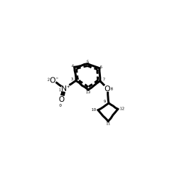 O=[N+]([O-])c1cccc(OC2CCC2)c1